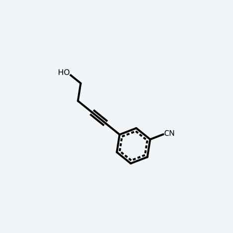 N#Cc1cccc(C#CCCO)c1